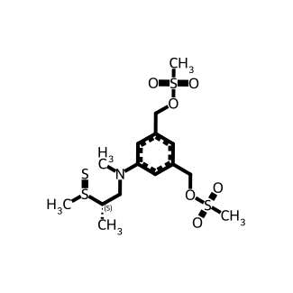 C[C@@H](CN(C)c1cc(COS(C)(=O)=O)cc(COS(C)(=O)=O)c1)S(C)=S